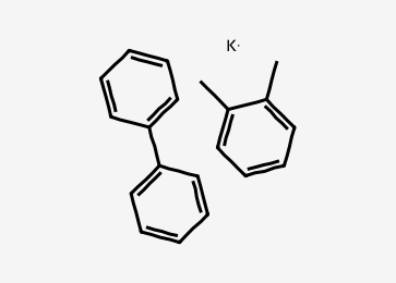 Cc1ccccc1C.[K].c1ccc(-c2ccccc2)cc1